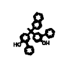 CC(c1ccc(O)c(-c2ccccc2)c1)(c1ccc(O)c(-c2ccccc2)c1)c1ccc2ccccc2c1